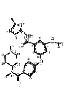 Cc1nsc(NC(=O)c2cc(Oc3ccc(C(=O)N(C)C4CCN(C)CC4)cc3)cc(OC(C)C)c2)n1